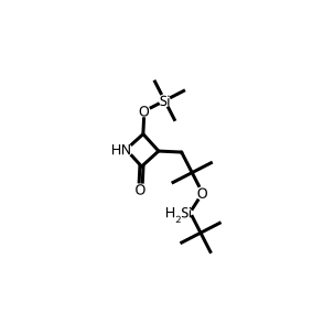 CC(C)(CC1C(=O)NC1O[Si](C)(C)C)O[SiH2]C(C)(C)C